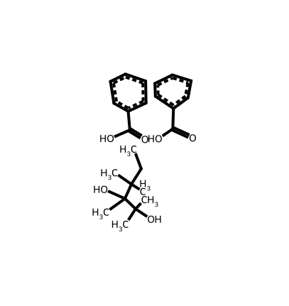 CCC(C)(C)C(C)(O)C(C)(C)O.O=C(O)c1ccccc1.O=C(O)c1ccccc1